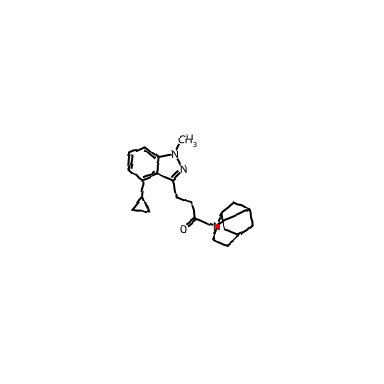 Cn1nc(CCC(=O)N2C3CC4CC(C3)CC2C4)c2c(C3CC3)cccc21